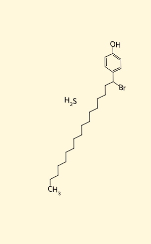 CCCCCCCCCCCCCCCCC(Br)c1ccc(O)cc1.S